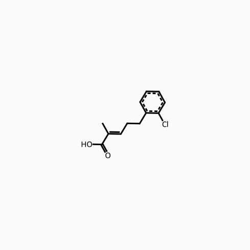 C/C(=C\CCc1ccccc1Cl)C(=O)O